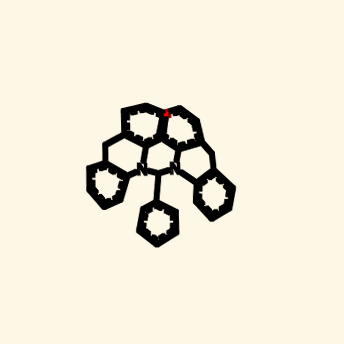 c1ccc(C(N2c3ccccc3Cc3ccccc32)N2c3ccccc3Cc3ccccc32)cc1